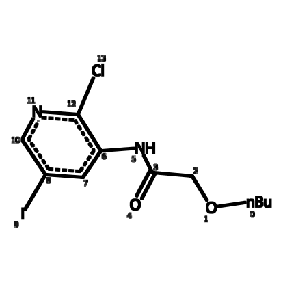 CCCCOCC(=O)Nc1cc(I)cnc1Cl